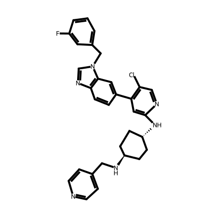 Fc1cccc(Cn2cnc3ccc(-c4cc(N[C@H]5CC[C@H](NCc6ccncc6)CC5)ncc4Cl)cc32)c1